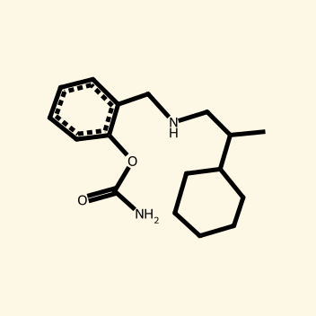 CC(CNCc1ccccc1OC(N)=O)C1CCCCC1